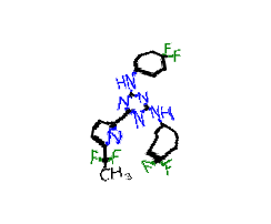 CC(F)(F)c1cccc(-c2nc(NC3CCC(F)(F)CC3)nc(NC3CCC(F)(F)CC3)n2)n1